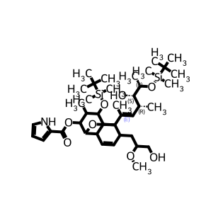 COC(CO)CC1C=CC2C3OC1(/C(C)=C/[C@@H](C)[C@H](O)[C@@H](C)O[Si](C)(C)C(C)(C)C)C2C(O[Si](C)(C)C(C)(C)C)C(C)C3OC(=O)c1ccc[nH]1